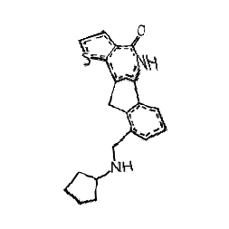 O=c1[nH]c2c(c3sccc13)Cc1c(CNC3CCCC3)cccc1-2